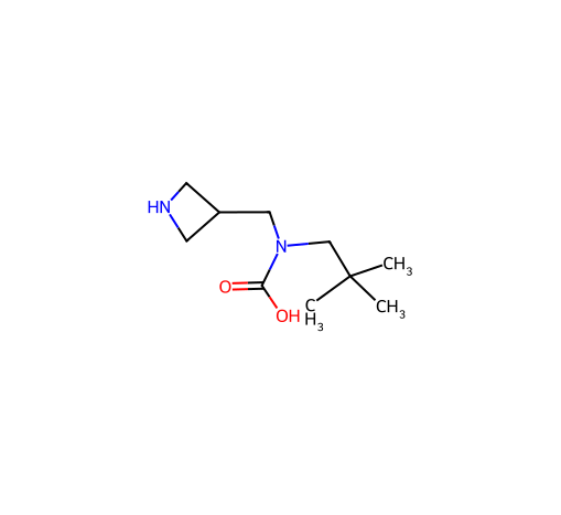 CC(C)(C)CN(CC1CNC1)C(=O)O